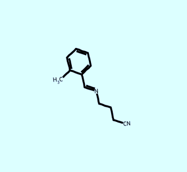 Cc1ccccc1/C=N/CCCC#N